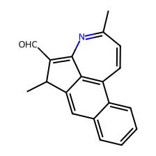 CC1=NC2=C(C=O)C(C)c3cc4ccccc4c(c32)C=C1